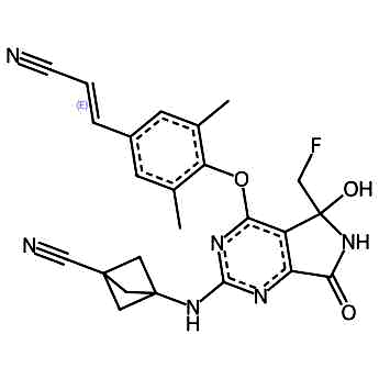 Cc1cc(/C=C/C#N)cc(C)c1Oc1nc(NC23CC(C#N)(C2)C3)nc2c1C(O)(CF)NC2=O